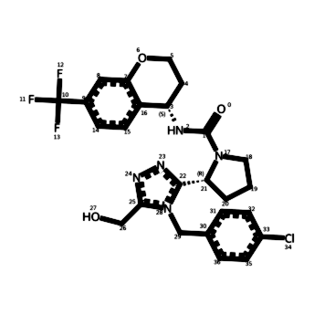 O=C(N[C@H]1CCOc2cc(C(F)(F)F)ccc21)N1CCC[C@@H]1c1nnc(CO)n1Cc1ccc(Cl)cc1